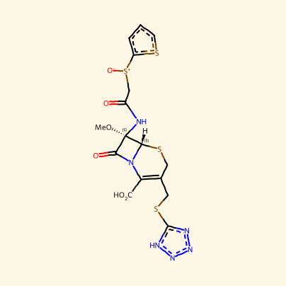 CO[C@@]1(NC(=O)C[S+]([O-])c2cccs2)C(=O)N2C(C(=O)O)=C(CSc3nnn[nH]3)CS[C@H]21